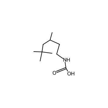 CC(CCNC(=O)O)CC(C)(C)C